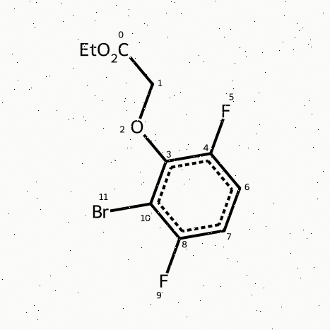 CCOC(=O)COc1c(F)ccc(F)c1Br